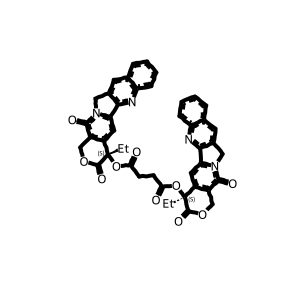 CC[C@@]1(OC(=O)CCC(=O)O[C@]2(CC)C(=O)OCc3c2cc2n(c3=O)Cc3cc4ccccc4nc3-2)C(=O)OCc2c1cc1n(c2=O)Cc2cc3ccccc3nc2-1